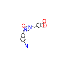 N#Cc1ccc2c(c1)CC(CN1CCN(CCc3ccc4c(c3)COC4=O)CC1=O)C2